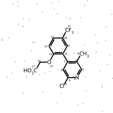 Cc1cnc(Cl)cc1-c1cc(C(F)(F)F)ccc1OCC(=O)O